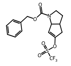 O=C(OCc1ccccc1)N1CCC2CC(OS(=O)(=O)C(F)(F)F)=CC21